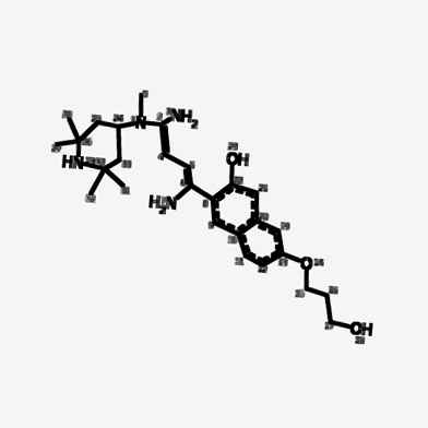 CN(/C(N)=C/C=C(\N)c1cc2ccc(OCCCO)cc2cc1O)C1CC(C)(C)NC(C)(C)C1